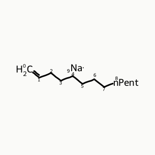 C=CCCCCCCCCCCC.[Na]